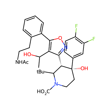 CC(=O)NCCc1ccccc1-c1onc([C@H]2C(C(C)(C)C)N(C(=O)O)CC[C@]2(O)c2ccc(F)c(F)c2)c1C(C)O